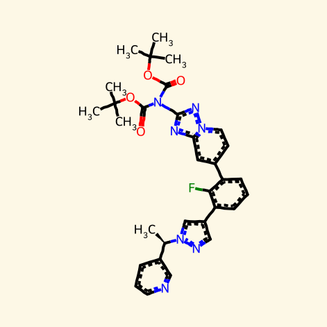 C[C@H](c1cccnc1)n1cc(-c2cccc(-c3ccn4nc(N(C(=O)OC(C)(C)C)C(=O)OC(C)(C)C)nc4c3)c2F)cn1